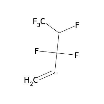 C=[C]C(F)(F)C(F)C(F)(F)F